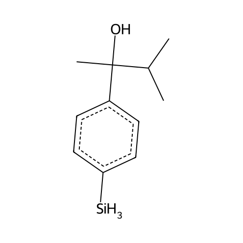 CC(C)C(C)(O)c1ccc([SiH3])cc1